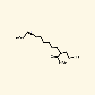 CCCCCCCC/C=C\CCCCCCC(CCO)C(=O)NC